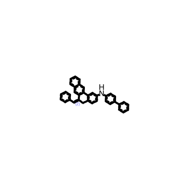 C(=C1\Cc2ccc(Nc3ccc(-c4ccccc4)cc3)cc2-c2cc3ccccc3cc21)/c1ccccc1